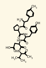 CC(=O)C(NC(=O)C(CC(=O)O)NC(=O)C(Cc1ccc(O)cc1)NC(=O)C1CCCN1C(=O)C(N)Cc1ccc(C)cc1)C(C)C